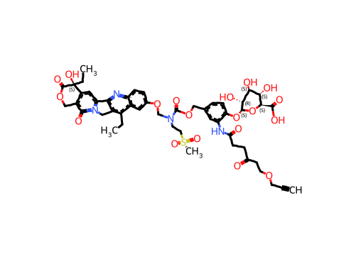 C#CCOCCC(=O)CCC(=O)Nc1cc(COC(=O)N(CCS(C)(=O)=O)COc2ccc3nc4c(c(CC)c3c2)Cn2c-4cc3c(c2=O)COC(=O)[C@]3(O)CC)ccc1O[C@@H]1O[C@H](C(=O)O)[C@@H](O)[C@H](O)[C@H]1O